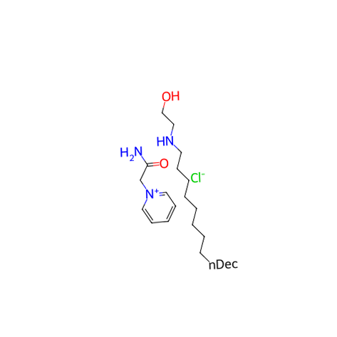 CCCCCCCCCCCCCCCCCCNCCO.NC(=O)C[n+]1ccccc1.[Cl-]